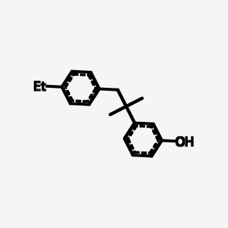 CCc1ccc(CC(C)(C)c2cccc(O)c2)cc1